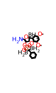 BC(B)(c1ccccc1)S(=O)(=O)OC1=C(N)O[C@](B)(c2cc(OC)cc(OC)c2)C1=O